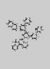 CC1(C)c2ccccc2-c2c1cc(-c1cc(-c3cccc(-c4ccccn4)c3)cc(-c3nc(-c4ccccc4)nc(-c4ccc5ccccc5c4)n3)c1)c1ccccc21